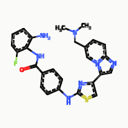 CN(C)Cc1ccc2ncc(-c3csc(Nc4ccc(C(=O)Nc5c(N)cccc5F)cc4)n3)n2c1